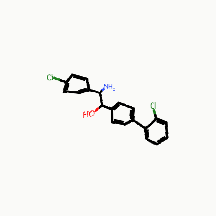 NC(c1ccc(Cl)cc1)C(O)c1ccc(-c2ccccc2Cl)cc1